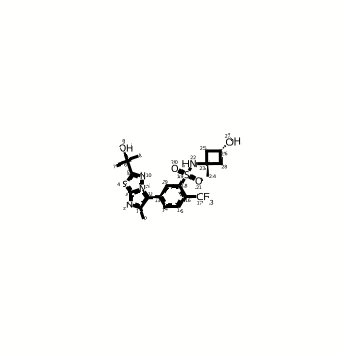 Cc1nc2sc(C(C)(C)O)nn2c1-c1ccc(C(F)(F)F)c(S(=O)(=O)N[C@]2(C)C[C@H](O)C2)c1